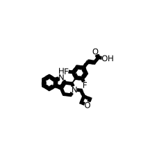 O=C(O)/C=C/c1cc(F)c([C@@H]2c3[nH]c4ccccc4c3CCN2CC2COC2)c(F)c1